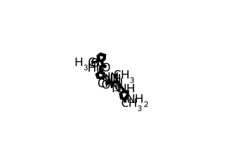 CNc1nc(Nc2ccc(C)c(N)c2)ncc1C(=O)Nc1cc(NC(=O)c2ccccc2OC)ccc1C